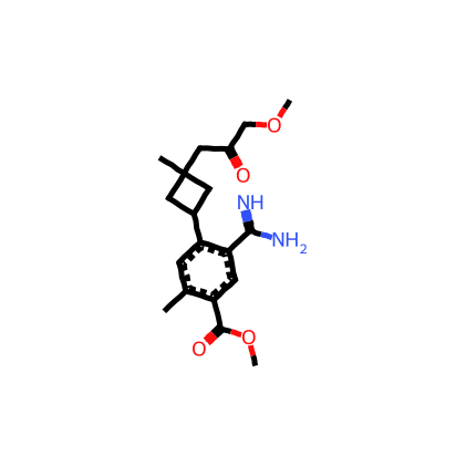 COCC(=O)CC1(C)CC(c2cc(C)c(C(=O)OC)cc2C(=N)N)C1